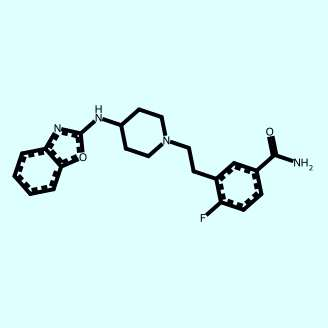 NC(=O)c1ccc(F)c(CCN2CCC(Nc3nc4ccccc4o3)CC2)c1